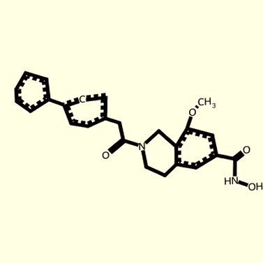 COc1cc(C(=O)NO)cc2c1CN(C(=O)Cc1ccc(-c3ccccc3)cc1)CC2